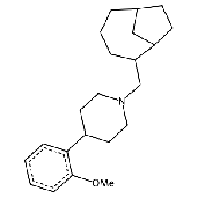 COc1ccccc1C1CCN(CC2CCCC3CCC2C3)CC1